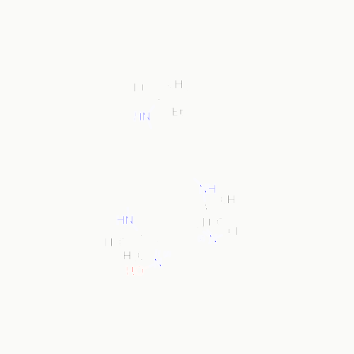 CCC(C)(CC)NCCC1CCNC(C)(C)/C(=N\C)C/C(=N/O)C(C)(C)NCC1